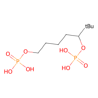 CC(C)(C)C(CCCCOP(=O)(O)O)OP(=O)(O)O